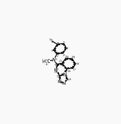 CN(c1cccc(I)c1)c1nc2nncn2c2ccccc12